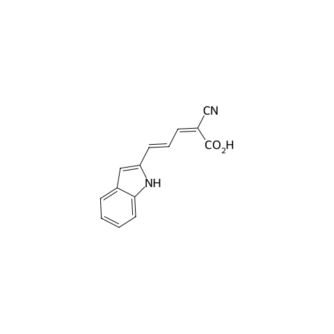 N#CC(=CC=Cc1cc2ccccc2[nH]1)C(=O)O